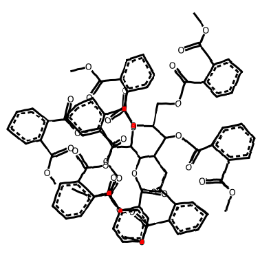 COC(=O)c1ccccc1C(=O)CC(C(OC(=O)c1ccccc1C(=O)OC)C(COC(=O)c1ccccc1C(=O)OC)OC(=O)c1ccccc1C(=O)OC)C(OC(=O)c1ccccc1C(=O)OC)C(OC(=O)c1ccccc1C(=O)OC)C(COC(=O)c1ccccc1C(=O)OC)OC(=O)c1ccccc1C(=O)OC